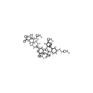 CCCc1ccc([C@@H](Oc2cc(N3CCC4(CC3)CC(C(=O)O)NC4CC)nc(N)n2)C(F)(F)F)c(-n2ccc(C)n2)c1